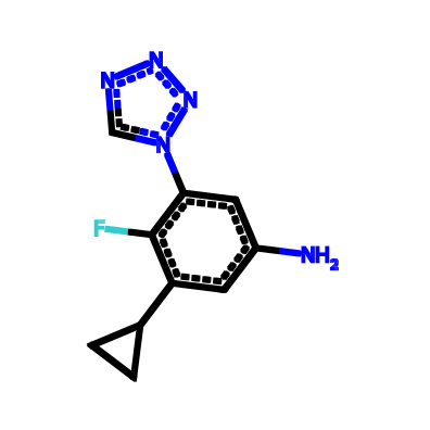 Nc1cc(C2CC2)c(F)c(-n2cnnn2)c1